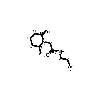 CC(=O)CCNC(=O)CN1C(C)CCCC1C